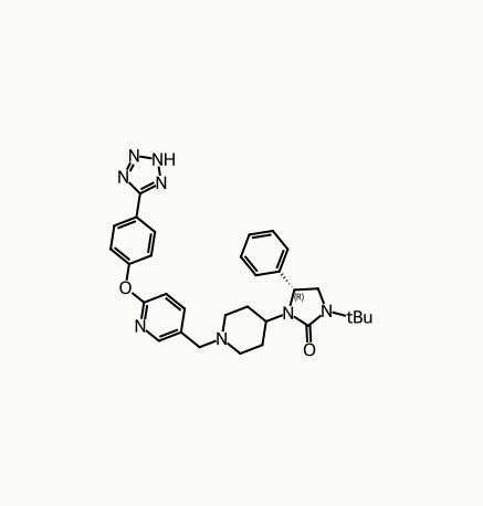 CC(C)(C)N1C[C@@H](c2ccccc2)N(C2CCN(Cc3ccc(Oc4ccc(-c5nn[nH]n5)cc4)nc3)CC2)C1=O